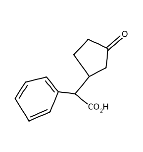 O=C1CCC(C(C(=O)O)c2ccccc2)C1